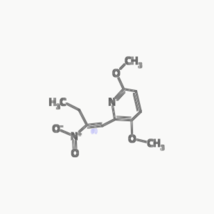 CC/C(=C\c1nc(OC)ccc1OC)[N+](=O)[O-]